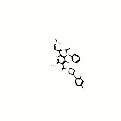 CCN(c1ccccc1)c1c(C(=N)/C=C\NC)nc(O)c(C(=O)N2CCC(c3ccc(F)cc3F)C2)c1O